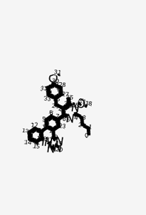 CCCCC1N=C(c2ccc(-c3ccccc3)c(-c3nnn[nH]3)c2)C(Cc2ccc(OC)cc2)=C(C)N1OC